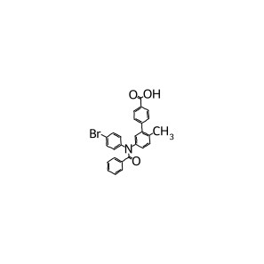 Cc1ccc(N(C(=O)c2ccccc2)c2ccc(Br)cc2)cc1-c1ccc(C(=O)O)cc1